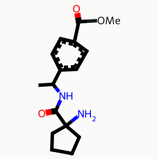 COC(=O)c1ccc(C(C)NC(=O)C2(N)CCCC2)cc1